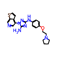 Nc1nc(Nc2ccc(OCCN3CCCC3)cc2)nn1-c1cncc2sccc12